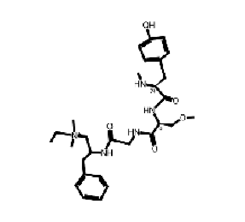 CC[N+](C)(C)CC(Cc1ccccc1)NC(=O)CNC(=O)[C@H](COC)NC(=O)[C@H](Cc1ccc(O)cc1)NC